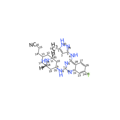 Cc1cc(Nc2nc(N[C@@H]3C[C@H]4CC(CCC#N)C[C@@H](C3)N4)nc3cc(F)ccc23)n[nH]1